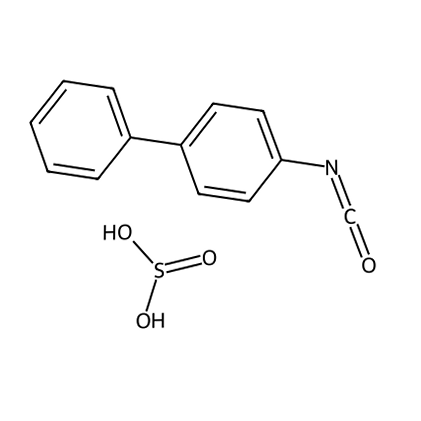 O=C=Nc1ccc(-c2ccccc2)cc1.O=S(O)O